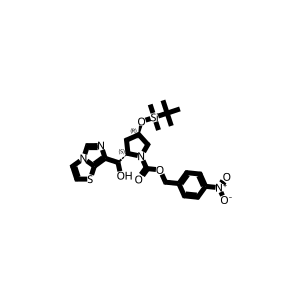 CC(C)(C)[Si](C)(C)O[C@@H]1C[C@@H](C(O)c2ncn3ccsc23)N(C(=O)OCc2ccc([N+](=O)[O-])cc2)C1